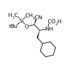 CC(C)(C)[Si](C)(C)O[C@@H](C#N)[C@H](CC1CCCCC1)NC(=O)O